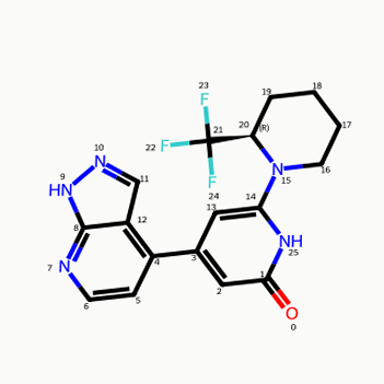 O=c1cc(-c2ccnc3[nH]ncc23)cc(N2CCCC[C@@H]2C(F)(F)F)[nH]1